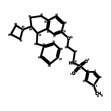 Cn1ccc(S(=O)(=O)NCCOc2ccc3c(c2)C(Cc2ccccc2)C(N2CCC2)CC3)c1